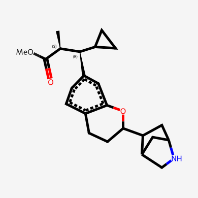 COC(=O)[C@@H](C)[C@H](c1ccc2c(c1)OC(C1CC3CC1CN3)CC2)C1CC1